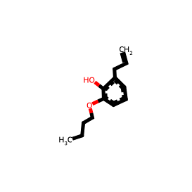 C=CCc1cccc(OCCCC)c1O